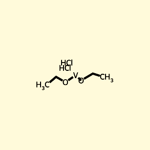 CC[O][V][O]CC.Cl.Cl